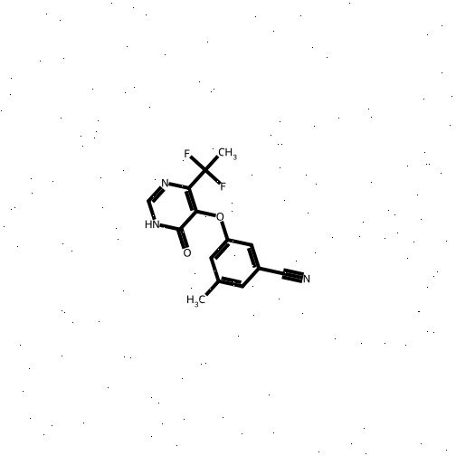 Cc1cc(C#N)cc(Oc2c(C(C)(F)F)nc[nH]c2=O)c1